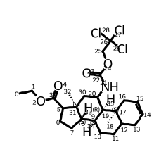 CCOC(=O)C1CC[C@H]2[C@@H]3CCC4CC=CC[C@]4(C)[C@@H]3C(NC(=O)OCC(Cl)(Cl)Cl)C[C@]12C